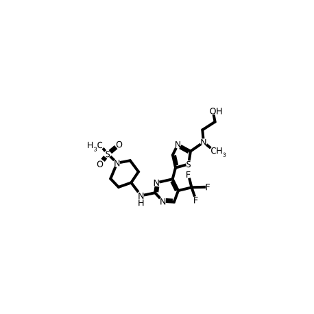 CN(CCO)c1ncc(-c2nc(NC3CCN(S(C)(=O)=O)CC3)ncc2C(F)(F)F)s1